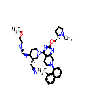 COCCN=C=NC1CCN(c2nc(OC[C@@H]3CCCN3C)nc3c2CCN(c2cccc4cccc(C)c24)C3)C[C@@H]1CC#N